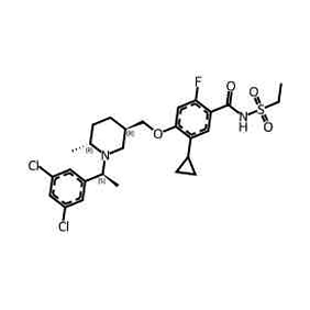 CCS(=O)(=O)NC(=O)c1cc(C2CC2)c(OC[C@@H]2CC[C@@H](C)N([C@@H](C)c3cc(Cl)cc(Cl)c3)C2)cc1F